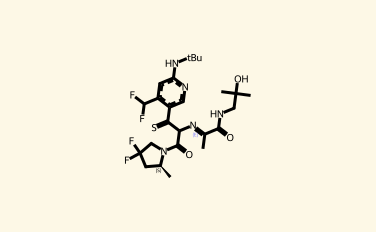 C/C(=N\C(C(=O)N1CC(F)(F)C[C@@H]1C)C(=S)c1cnc(NC(C)(C)C)cc1C(F)F)C(=O)NCC(C)(C)O